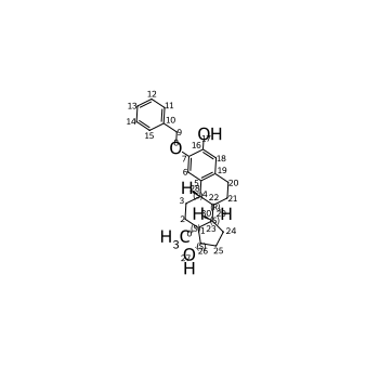 C[C@]12CC[C@@H]3c4cc(OCc5ccccc5)c(O)cc4CC[C@H]3[C@@H]1CC[C@@H]2O